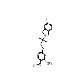 CC(C)Oc1ccc(CCC(C)(C)N2Cc3ccc(F)cc3C2)cc1N=O